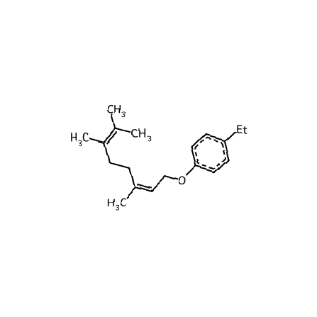 CCc1ccc(OCC=C(C)CCC(C)=C(C)C)cc1